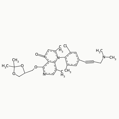 Cc1cc(C#CCN(C)C)cc(Cl)c1-n1c(C)cc(=O)c2c(OCC3COC(C)(C)O3)ncc(C)c21